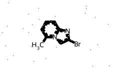 Cc1cccc2nc(Br)cn12